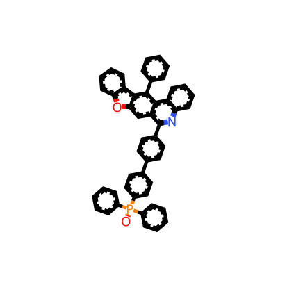 O=P(c1ccccc1)(c1ccccc1)c1ccc(-c2ccc(-c3nc4ccccc4c4c(-c5ccccc5)c5c(cc34)oc3ccccc35)cc2)cc1